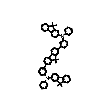 CC1(C)c2cc(-c3cccc(N(c4ccccc4)c4ccc5c(c4)C(C)(C)c4ccccc4-5)c3)ccc2-c2ccc(-c3cccc(N(c4ccccc4)c4ccc5c(c4)C(C)(C)c4ccccc4-5)c3)cc21